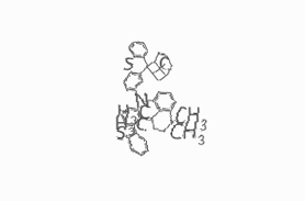 CC1(C)CCC(C)(C)c2c(N(c3ccc4c(c3)C3(c5ccccc5S4)C4CC5CC6CC3C64C5)c3ccc4sc5ccccc5c4c3)cccc21